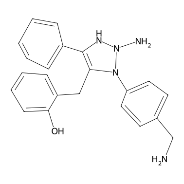 NCc1ccc(N2C(Cc3ccccc3O)=C(c3ccccc3)NN2N)cc1